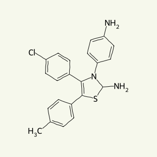 Cc1ccc(C2=C(c3ccc(Cl)cc3)N(c3ccc(N)cc3)C(N)S2)cc1